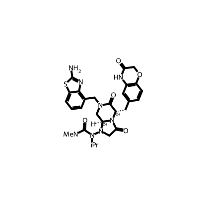 CNC(=O)N(C(C)C)N1CC(=O)N2[C@@H](Cc3ccc4c(c3)NC(=O)CO4)C(=O)N(Cc3cccc4sc(N)nc34)C[C@@H]21